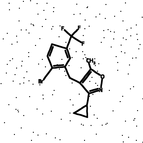 Cc1onc(C2CC2)c1Cc1cc(C(F)(F)F)ccc1Br